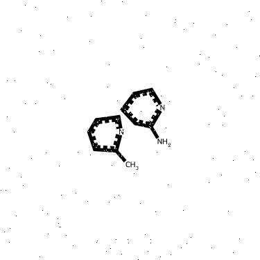 Cc1ccccn1.Nc1ccccn1